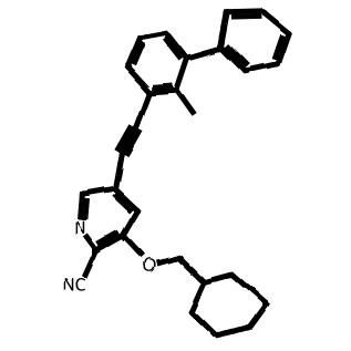 Cc1c(C#Cc2cnc(C#N)c(OCC3CCCCC3)c2)cccc1-c1ccccc1